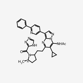 CC(=O)Nc1c(C2CC2)c(CCC2CC[C@@H](C)N2C(=O)c2nnc[nH]2)nc2c(-c3ccc(-c4ccccc4)nc3)cnn12